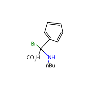 CCCCNC(Br)(C(=O)O)c1ccccc1